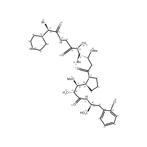 CC[C@H](C)[C@@H](C(CC(=O)N1CCC[C@H]1[C@H](OC)[C@@H](C)C(=O)N[C@@H](Cc1ccccc1Cl)C(=O)O)OC)N(C)C(=O)CNC(=O)[C@H](C(C)C)N1CCNCC1